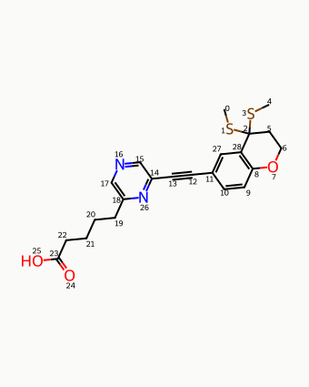 CSC1(SC)CCOc2ccc(C#Cc3cncc(CCCCC(=O)O)n3)cc21